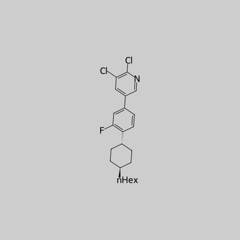 CCCCCC[C@H]1CC[C@H](c2ccc(-c3cnc(Cl)c(Cl)c3)cc2F)CC1